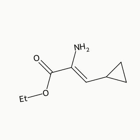 CCOC(=O)C(N)=CC1CC1